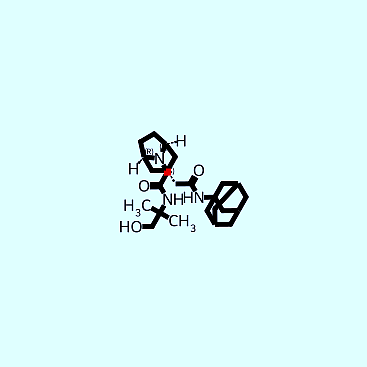 CC(C)(CO)NC(=O)CN1[C@@H]2CC[C@H]1C[C@H](CC(=O)NC13CC4CC(CC(C4)C1)C3)C2